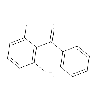 Nc1cccc(F)c1C(=O)c1ccccc1